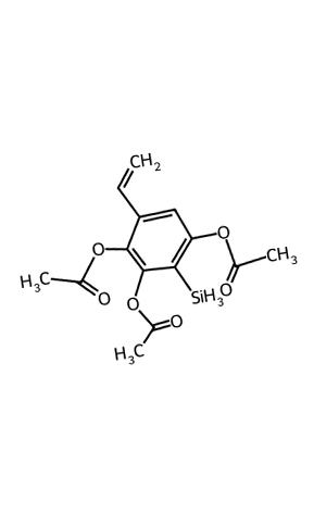 C=Cc1cc(OC(C)=O)c([SiH3])c(OC(C)=O)c1OC(C)=O